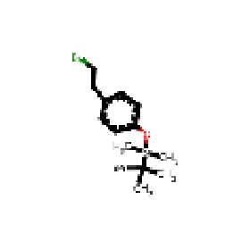 CC(C)C(C)(C)[Si](C)(C)Oc1ccc(CCBr)cc1